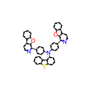 c1ccc2c(c1)oc1c(-c3ccc(N(c4ccc(-c5nccc6c5oc5ccccc56)cc4)c4cccc5sc6ccccc6c45)cc3)nccc12